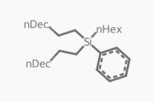 CCCCCCCCCCCC[Si](CCCCCC)(CCCCCCCCCCCC)c1ccccc1